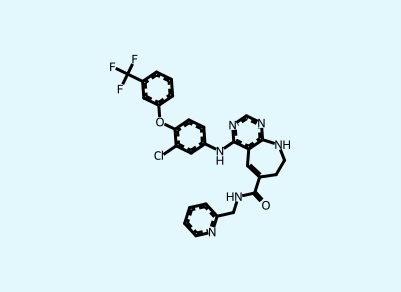 O=C(NCc1ccccn1)C1=Cc2c(ncnc2Nc2ccc(Oc3cccc(C(F)(F)F)c3)c(Cl)c2)NCC1